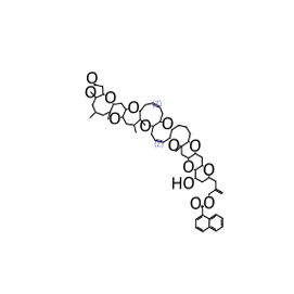 C=C(COC(=O)c1cccc2ccccc12)CC1CC(O)C2OC3CC4(C)OC5/C=C\CC6OC7C(C)CC8OC9(C)CC(C)CC%10OC(=O)CC%10OC9CC8OC7C/C=C\CC6OC5CCCC4OC3CC2O1